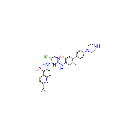 COc1cc(-c2ccc(N3CCNCC3)cc2)c(C)cc1Nc1ncc(Br)c(Nc2ccc3nc(C4CC4)ccc3c2P(C)C)n1